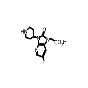 O=C(O)Cn1c(=O)n(C2CCNCC2)c2ncc(F)cc21